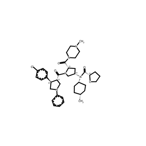 CN1CCN(C(=O)[C@@H]2C[C@H](N(C(=O)[C@@H]3CCCO3)[C@H]3CC[C@@H](C)CC3)CN2C(=O)[C@@H]2CN(c3ccccc3)C[C@H]2c2ccc(Cl)cc2)CC1